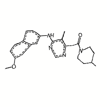 COc1ccc2ccc(Nc3ncnc(C(=O)N4CCC(C)CC4)c3C)cc2c1